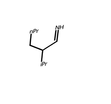 [CH2]C(C)C(C=N)CCCC